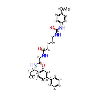 COc1ccc(NC(=O)NCCCCC(=O)NCC(=O)NC(CC(=O)O)c2ccc(-c3ccccc3)cc2)cc1